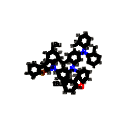 Cc1ccccc1N(c1ccc2c(c1)N(c1cccc3oc4ccccc4c13)c1cc(C(C)(C)C)cc3c1B2c1cc(C(C)(C)C)cc2c4c5ccccc5sc4n-3c12)c1ccccc1C